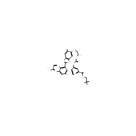 COc1cnc2c(-c3nc4cc(F)c(O[C@@H](C)[C@@H](C)OC(=O)Nc5ccnc(C(=O)NCC(C)(C)O)c5)cc4s3)cc(C)cc2n1